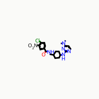 CN(C)c1ccnc(NC2CCC(CNC(=O)c3ccc(Cl)c([N+](=O)[O-])c3)CC2)n1